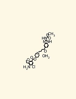 COC(=O)Nc1nc2cc(C(=O)CCCN3CCC(OC(=O)c4cc(Cl)c(N)c5c4OCC5)CC3)ccc2[nH]1.O